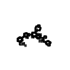 Cc1cccc(-c2ccn(-c3cc(N4CCOCC4)n4nc(C(=O)N[C@@H]5CCOC5)cc4n3)n2)c1